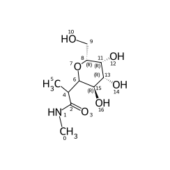 CNC(=O)C(C)C1O[C@H](CO)[C@H](O)[C@H](O)[C@H]1O